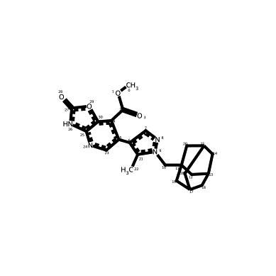 COC(=O)c1c(-c2cnn(CC34CC5CC(CC(C5)C3)C4)c2C)cnc2[nH]c(=O)oc12